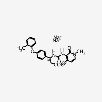 Cc1ccccc1Oc1ccc([C@H](CC(=O)[O-])NC(=O)Nc2c([O-])ccn(C)c2=O)cc1.[Na+].[Na+]